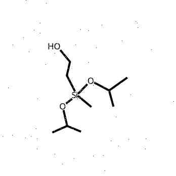 CC(C)O[Si](C)(CCO)OC(C)C